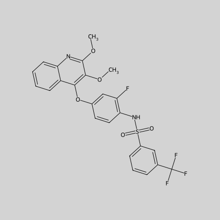 COc1nc2ccccc2c(Oc2ccc(NS(=O)(=O)c3cccc(C(F)(F)F)c3)c(F)c2)c1OC